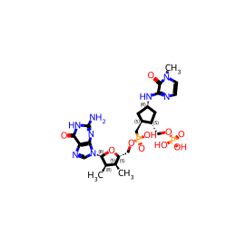 C[C@@H]1[C@H](C)[C@@H](COP(=O)(O)C[C@H]2C[C@H](Nc3nccn(C)c3=O)C[C@@H]2COP(=O)(O)O)O[C@H]1n1cnc2c(=O)[nH]c(N)nc21